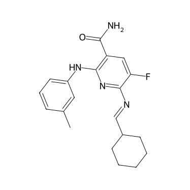 Cc1cccc(Nc2nc(N=CC3CCCCC3)c(F)cc2C(N)=O)c1